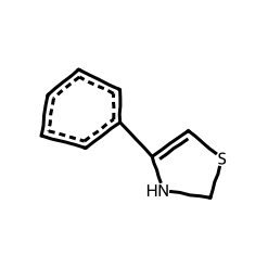 C1=C(c2ccccc2)NCS1